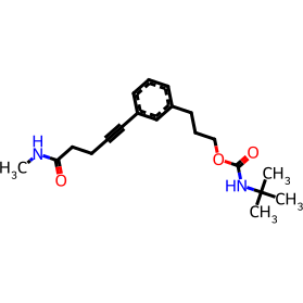 CNC(=O)CCC#Cc1cccc(CCCOC(=O)NC(C)(C)C)c1